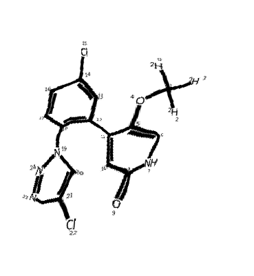 [2H]C([2H])([2H])Oc1c[nH]c(=O)cc1-c1cc(Cl)ccc1-n1cc(Cl)nn1